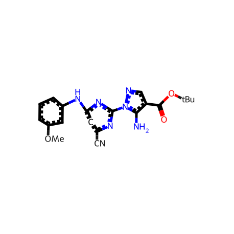 COc1cccc(Nc2cc(C#N)nc(-n3ncc(C(=O)OC(C)(C)C)c3N)n2)c1